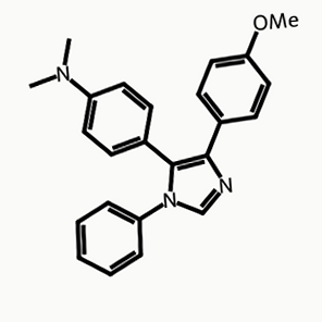 COc1ccc(-c2ncn(-c3ccccc3)c2-c2ccc(N(C)C)cc2)cc1